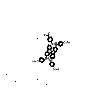 COc1ccc(Nc2ccc3c(c2)C2(c4cc(Nc5ccc(OC)cc5)ccc4-3)c3cc(Nc4ccc(OC)cc4)ccc3-c3ccc(Nc4ccc(C(=O)S)cc4)cc32)cc1